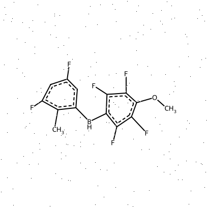 COc1c(F)c(F)c(Bc2cc(F)cc(F)c2C)c(F)c1F